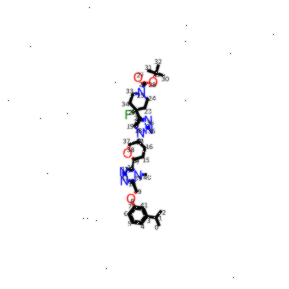 CC(C)c1cccc(OCc2nnc([C@@H]3CC[C@@H](n4cc(C5(F)CCN(C(=O)OC(C)(C)C)CC5)nn4)CO3)n2C)c1